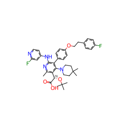 Cc1nc(Nc2ccnc(F)c2)c(-c2ccc(OCCc3ccc(F)cc3)cc2)c(N2CCC(C)(C)CC2)c1[C@H](OC(C)(C)C)C(=O)O